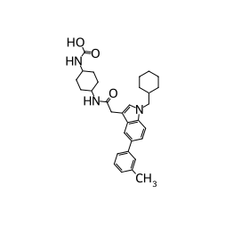 Cc1cccc(-c2ccc3c(c2)c(CC(=O)NC2CCC(NC(=O)O)CC2)cn3CC2CCCCC2)c1